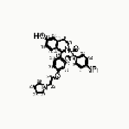 CC(C)c1ccc(S(=O)(=O)N2CCc3cc(O)ccc3C2c2ccc(OCCN3CCCC3)cc2)cc1